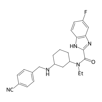 CCN(C(=O)c1nc2cc(F)ccc2[nH]1)C1CCCC(NCc2ccc(C#N)cc2)C1